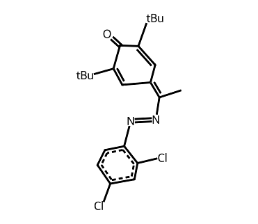 CC(N=Nc1ccc(Cl)cc1Cl)=C1C=C(C(C)(C)C)C(=O)C(C(C)(C)C)=C1